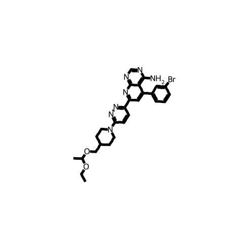 CCOC(C)OCC1CCN(c2ccc(-c3cc(-c4cccc(Br)c4)c4c(N)ncnc4n3)nn2)CC1